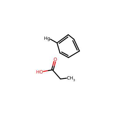 CCC(=O)O.[Hg][c]1ccccc1